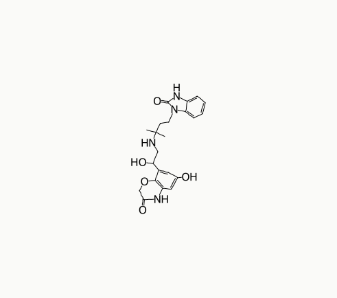 CC(C)(CCn1c(=O)[nH]c2ccccc21)NCC(O)c1cc(O)cc2c1OCC(=O)N2